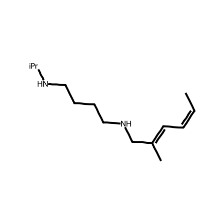 C/C=C\C=C(/C)CNCCCCNC(C)C